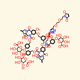 C=C1C[C@H]2C(O)N(C(=O)OCc3ccc(O[C@@H]4O[C@H](C(=O)O)[C@@H](O)[C@H](O)[C@H]4O)cc3)c3cc(OCc4cc(COc5cc6c(cc5OC)C(=O)N5CC(=C)C[C@H]5C(O)N6C(=O)OCc5ccc(O[C@@H]6O[C@H](C(=O)O)[C@H](O)[C@H](O)[C@H]6O)cc5)cc(OS(=O)(=O)Oc5cc(C(=O)N(C)CCOCCn6cc(COCCOCCN7C(=O)C=CC7=O)nn6)ccc5O[C@@H]5O[C@H](C(=O)O)[C@@H](O)[C@H](O)[C@H]5O)c4)c(OC)cc3C(=O)N2C1